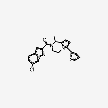 CC1c2ccc(-c3cccs3)n2CCN1C(=O)c1cc2ccc(Cl)cn2n1